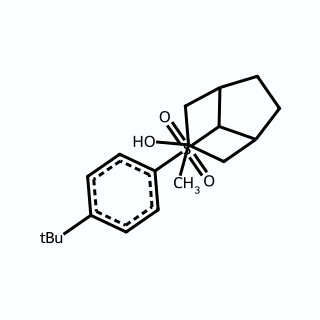 CC1(O)CC2CCC(C1)C2S(=O)(=O)c1ccc(C(C)(C)C)cc1